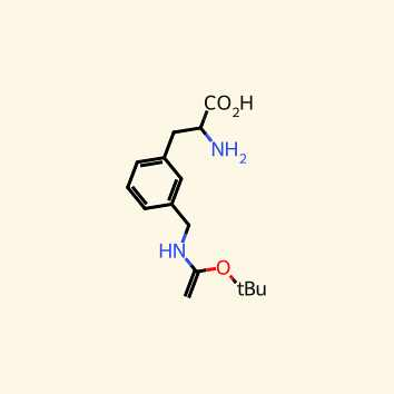 C=C(NCc1cccc(CC(N)C(=O)O)c1)OC(C)(C)C